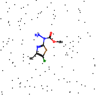 CC(C)(C)OC(=O)N(N)c1nc(C#N)c(Br)s1